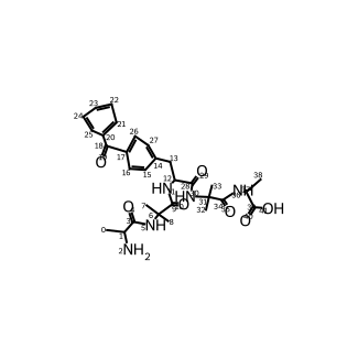 CC(N)C(=O)NC(C)(C)C(=O)NC(Cc1ccc(C(=O)c2ccccc2)cc1)C(=O)NC(C)(C)C(=O)NC(C)C(=O)O